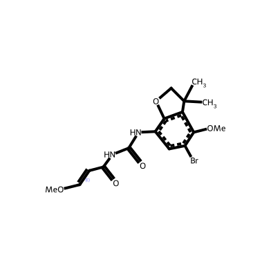 CO/C=C/C(=O)NC(=O)Nc1cc(Br)c(OC)c2c1OCC2(C)C